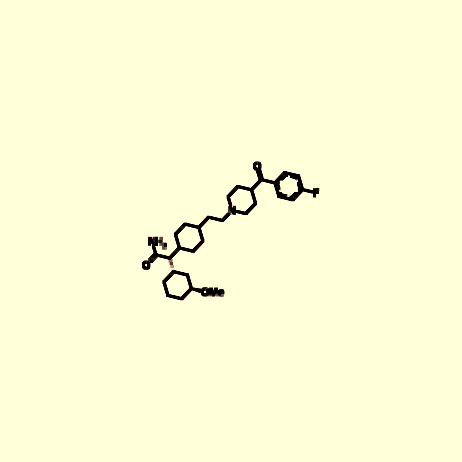 CO[C@H]1CCC[C@H](C(C(N)=O)C2CCC(CCN3CCC(C(=O)c4ccc(F)cc4)CC3)CC2)C1